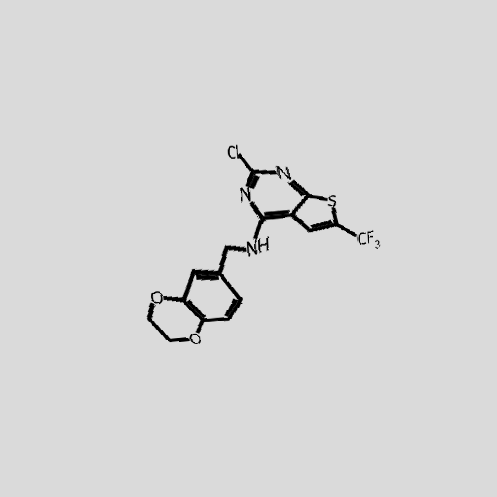 FC(F)(F)c1cc2c(NCc3ccc4c(c3)OCCO4)nc(Cl)nc2s1